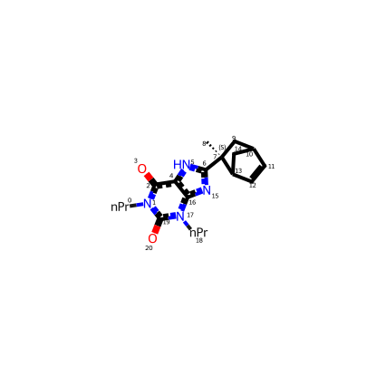 CCCn1c(=O)c2[nH]c([C@@]3(C)CC4C=CC3C4)nc2n(CCC)c1=O